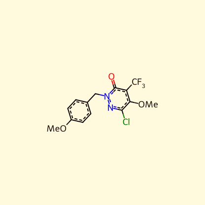 COc1ccc(Cn2nc(Cl)c(OC)c(C(F)(F)F)c2=O)cc1